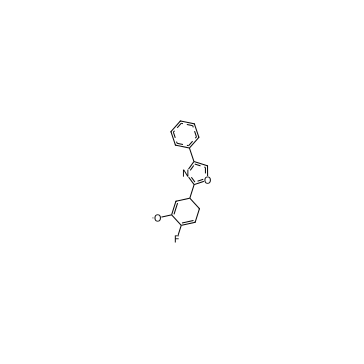 [O]C1=CC(c2nc(-c3ccccc3)co2)CC=C1F